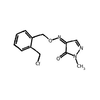 CN1N=CC(=NOCc2ccccc2CCl)C1=O